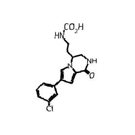 O=C(O)NCCC1CNC(=O)c2cc(-c3cccc(Cl)c3)cn21